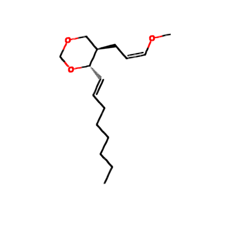 CCCCCCC=C[C@@H]1OCOC[C@H]1C/C=C\OC